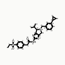 CCS(=O)(=O)c1ccc(CC(=O)Nc2nc3c(s2)CN(Cc2cccc(C4CC4)c2)C3C(C)C)cc1